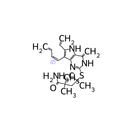 C=C/C=C\c1c(C=C)[nH]c2c1N=C(SC(C)(C)CC(C)(C)C(N)=O)NC2=C